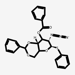 [N-]=[N+]=N[C@H]1C(OC(=O)c2ccccc2)[C@H]2OC(c3ccccc3)OCC2O[C@@H]1Sc1ccccc1